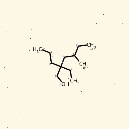 CCCC(CC)(CO)CC(C)CC